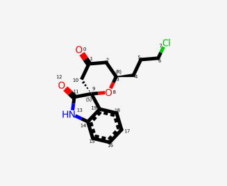 O=C1C[C@@H](CCCCl)O[C@]2(C1)C(=O)Nc1ccccc12